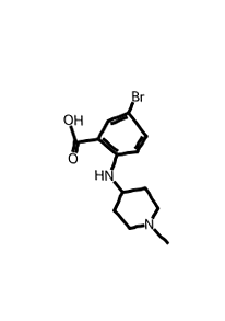 CN1CCC(Nc2ccc(Br)cc2C(=O)O)CC1